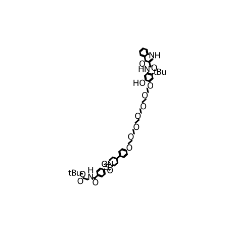 CC(C)(C)OC(=O)CNC(=O)c1ccc(S(=O)(=O)N2CCC(c3ccc(OCCOCCOCCOCCOCCOCCOc4cc(C(C)(C)C)c(NC(=O)c5c[nH]c6ccccc6c5=O)cc4O)cc3)CC2)cc1